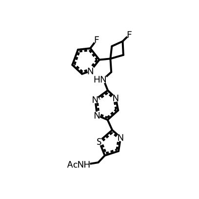 CC(=O)NCc1cnc(-c2cnc(NCC3(c4ncccc4F)CC(F)C3)nn2)s1